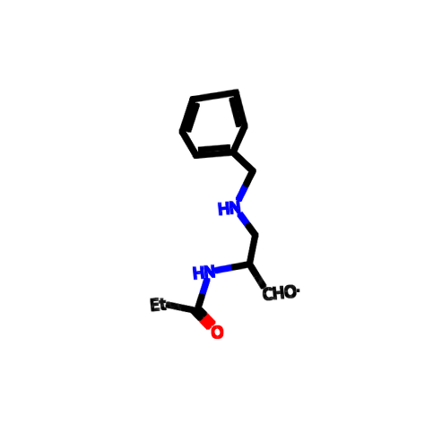 CCC(=O)NC([C]=O)CNCc1ccccc1